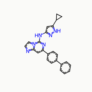 c1ccc(-c2ccc(-c3cc4nccn4c(Nc4cc(C5CC5)[nH]n4)n3)cc2)cc1